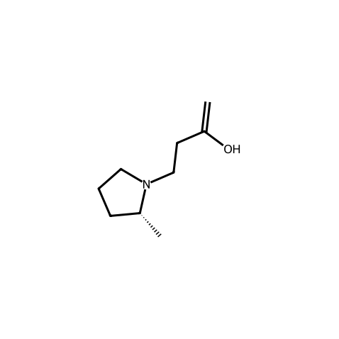 C=C(O)CCN1CCC[C@H]1C